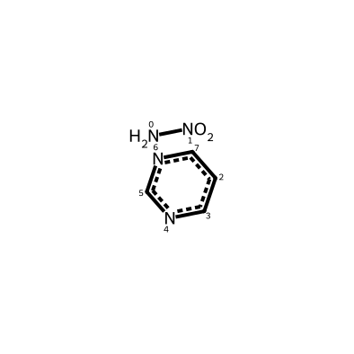 N[N+](=O)[O-].c1cncnc1